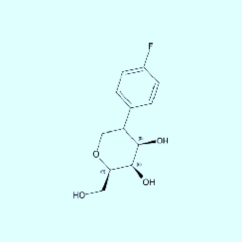 OC[C@H]1OCC(c2ccc(F)cc2)[C@@H](O)[C@H]1O